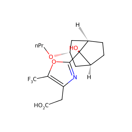 CCCO[C@@H]1C[C@H]2CC[C@@H](C1)[C@]2(O)c1nc(CC(=O)O)c(C(F)(F)F)o1